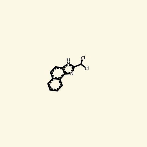 ClC(Cl)c1nc2c(ccc3ccccc32)[nH]1